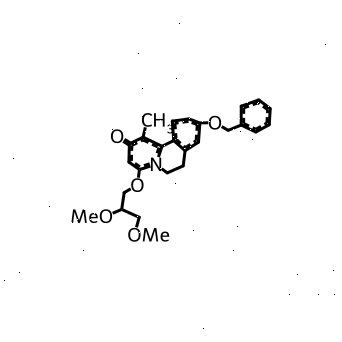 COCC(COc1cc(=O)c(C)c2n1CCc1cc(OCc3ccccc3)ccc1-2)OC